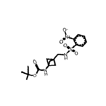 CC(C)(C)OC(=O)NC12CC(CNS(=O)(=O)c3ccccc3[N+](=O)[O-])(C1)C2